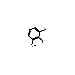 [NH]c1cccc(F)c1Cl